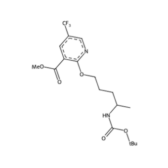 COC(=O)c1cc(C(F)(F)F)cnc1OCCCC(C)NC(=O)OC(C)(C)C